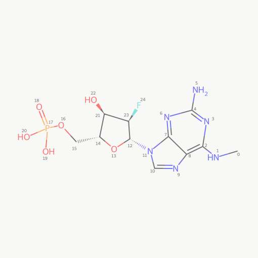 CNc1nc(N)nc2c1ncn2[C@@H]1O[C@H](COP(=O)(O)O)[C@@H](O)[C@H]1F